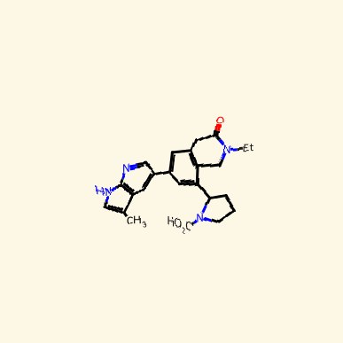 CCN1Cc2c(cc(-c3cnc4[nH]cc(C)c4c3)cc2C2CCCN2C(=O)O)CC1=O